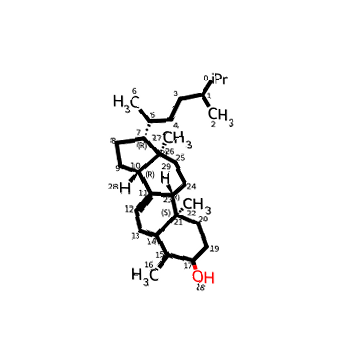 CC(C)C(C)CCC(C)[C@H]1CC[C@H]2C3=CCC4C(C)C(O)CC[C@]4(C)[C@H]3CC[C@]12C